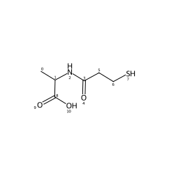 CC(NC(=O)CCS)C(=O)O